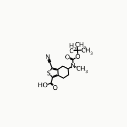 CN(C(=O)OC(C)(C)C)C1CCc2c(C(=O)O)sc(C#N)c2C1